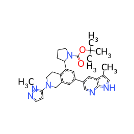 Cc1c[nH]c2ncc(-c3cc4c(c(C5CCCN5C(=O)OC(C)(C)C)c3)CCN(c3ccnn3C)C4)cc12